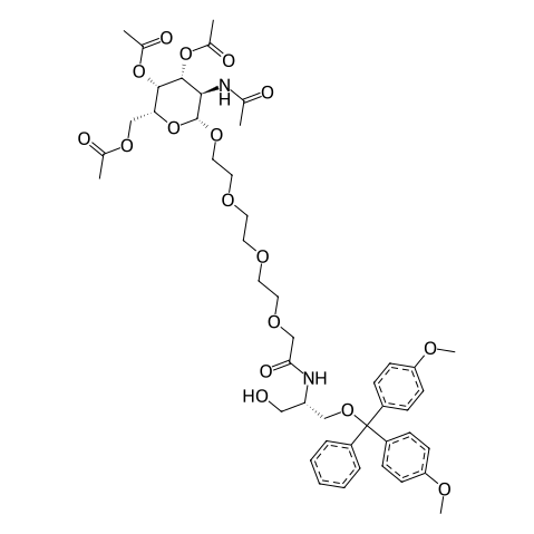 COc1ccc(C(OC[C@H](CO)NC(=O)COCCOCCOCCO[C@@H]2O[C@H](COC(C)=O)[C@H](OC(C)=O)[C@H](OC(C)=O)[C@H]2NC(C)=O)(c2ccccc2)c2ccc(OC)cc2)cc1